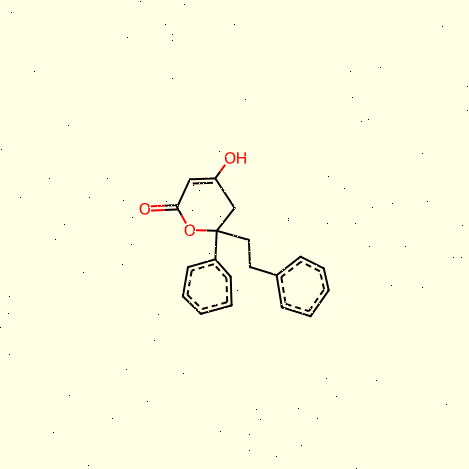 O=C1C=C(O)CC(CCc2ccccc2)(c2ccccc2)O1